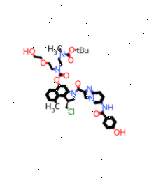 Cc1cccc2c(OC(=O)N(CCOCCO)CCN(C)C(=O)OC(C)(C)C)cc3c(c12)[C@H](CCl)CN3C(=O)c1cn2cc(NC(=O)c3ccc(O)cc3)ccc2n1